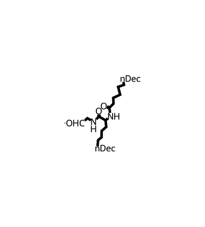 CCCCCCCCCCCCCCCC(=O)NC(CCCCCCCCCCCCCC)C(=O)NC[C]=O